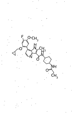 CCC(=O)NC1CCC(NC(=O)c2c(C)[nH]c3c(-c4cc(OC)c(F)cc4OCC4CC4)ccnc23)CC1